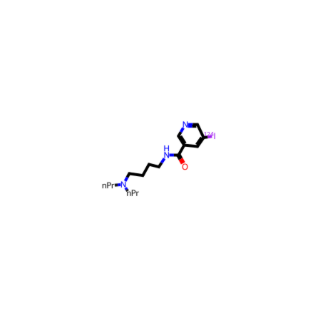 CCCN(CCC)CCCCNC(=O)c1cncc([124I])c1